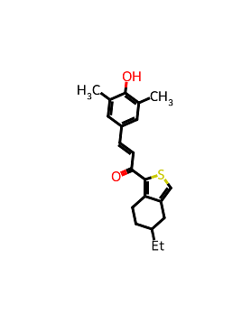 CCC1CCc2c(csc2C(=O)C=Cc2cc(C)c(O)c(C)c2)C1